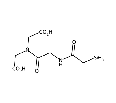 O=C(O)CN(CC(=O)O)C(=O)CNC(=O)C[SiH3]